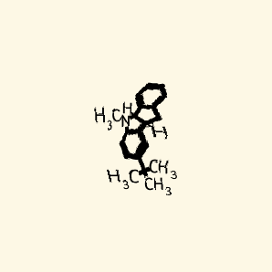 CN1c2ccc(C(C)(C)C)cc2[C@@H]2Cc3ccccc3[C@@H]21